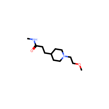 CNC(=O)CCC1CCN(CCOC)CC1